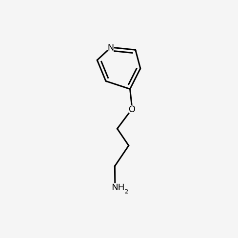 NCCCOc1ccncc1